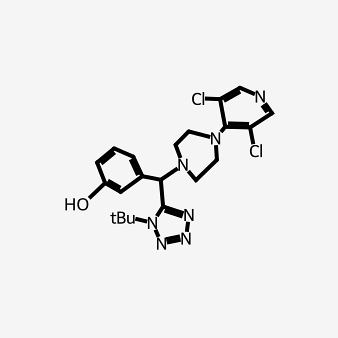 CC(C)(C)n1nnnc1C(c1cccc(O)c1)N1CCN(c2c(Cl)cncc2Cl)CC1